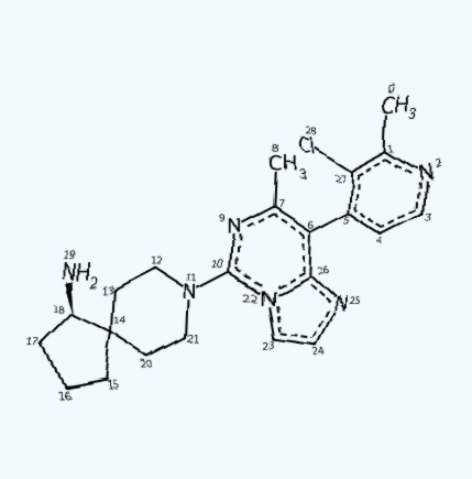 Cc1nccc(-c2c(C)nc(N3CCC4(CCC[C@H]4N)CC3)n3ccnc23)c1Cl